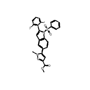 COC(=O)c1cc(-c2ccc3c(c2)cc(-c2c(F)cccc2F)n3S(=O)(=O)c2ccccc2)n(C)n1